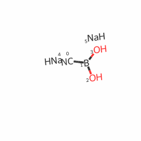 N#CB(O)O.[NaH].[NaH]